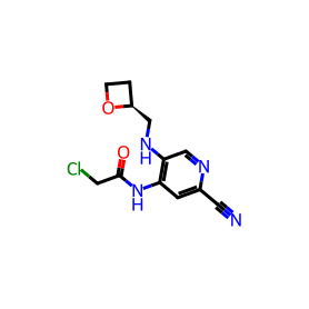 N#Cc1cc(NC(=O)CCl)c(NC[C@@H]2CCO2)cn1